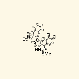 CCN(CC)CCSCC1=C(C(=O)OCCCc2ccccc2)C(c2ccc(Cl)c(Cl)c2)N=C(SC)N1